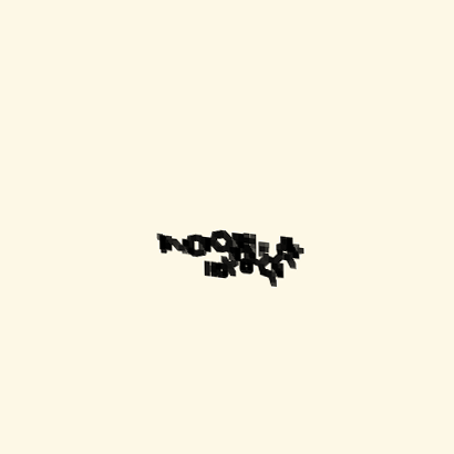 Cc1cc(C(=O)Nc2nc3ccc(N4CCN(CCN(C)C)CC4)cc3n2CC(C)(C)O)c(F)c(-c2cnn(C)c2C)n1